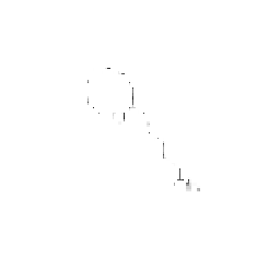 OCCCCCC1CCCCCCCO1